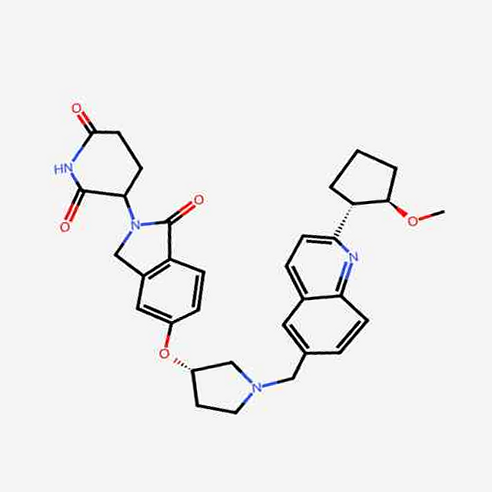 CO[C@@H]1CCC[C@H]1c1ccc2cc(CN3CC[C@H](Oc4ccc5c(c4)CN(C4CCC(=O)NC4=O)C5=O)C3)ccc2n1